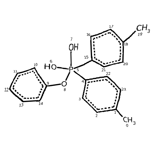 Cc1ccc(P(O)(O)(Oc2ccccc2)c2ccc(C)cc2)cc1